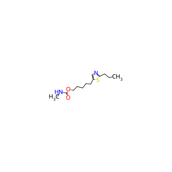 CCCc1ncc(CCCCCOC(=O)NC)s1